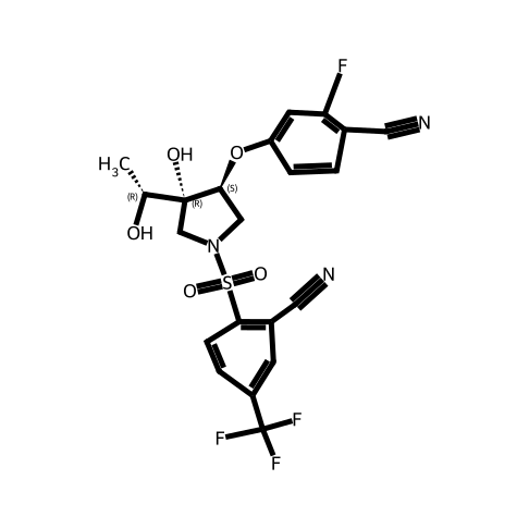 C[C@@H](O)[C@]1(O)CN(S(=O)(=O)c2ccc(C(F)(F)F)cc2C#N)C[C@@H]1Oc1ccc(C#N)c(F)c1